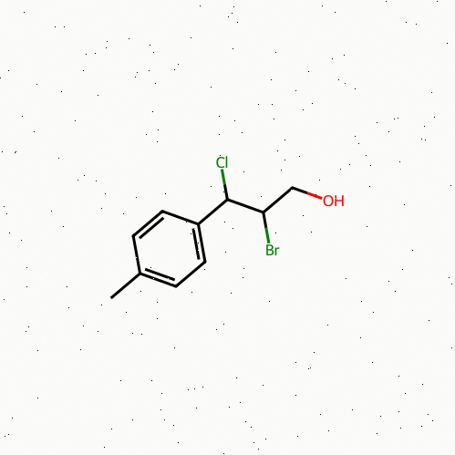 Cc1ccc(C(Cl)C(Br)CO)cc1